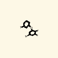 Fc1cccc(Oc2cc(Br)cc(F)c2F)c1